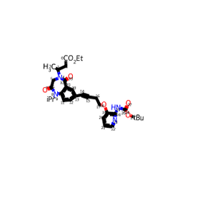 CCOC(=O)CC(C)N1CC(=O)N(C(C)C)c2ccc(C#CCCOc3cccnc3NC(=O)OC(C)(C)C)cc2C1=O